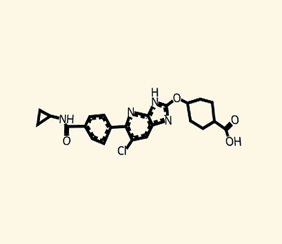 O=C(NC1CC1)c1ccc(-c2nc3[nH]c(OC4CCC(C(=O)O)CC4)nc3cc2Cl)cc1